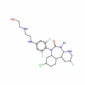 CCN1C(=O)N(c2c(F)cc(NCCNCCO)cc2F)C2CC(Cl)CCC2C2CC(F)CNC21